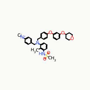 [C-]#[N+]c1ccc(CN(Cc2ccc(Oc3cccc(OC4CCOCC4)c3)cc2)c2cccc(NS(C)(=O)=O)c2C)cc1